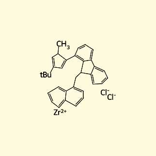 CC1C=C(C(C)(C)C)C=C1c1cccc2c1C(Cc1cccc3ccccc13)c1ccccc1-2.[Cl-].[Cl-].[Zr+2]